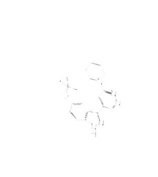 CC1(Oc2ccc3[nH]nc(-c4cnnc(N5CCCCC5)c4)c3c2)CC1